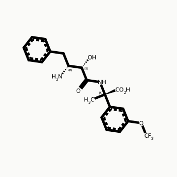 C[C@@](NC(=O)[C@@H](O)[C@H](N)Cc1ccccc1)(C(=O)O)c1cccc(OC(F)(F)F)c1